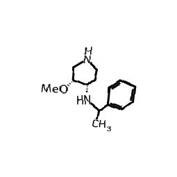 CO[C@@H]1CNCC[C@@H]1NC(C)c1ccccc1